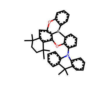 CC1(C)CCC(C)(C)c2c1cc1c3c2Oc2c(cccc2N2c4ccccc4C(C)(C)c4ccccc42)B3c2ccccc2O1